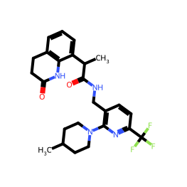 CC1CCN(c2nc(C(F)(F)F)ccc2CNC(=O)C(C)c2cccc3c2NC(=O)CC3)CC1